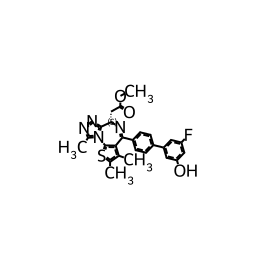 COC(=O)C[C@@H]1N=C(c2ccc(-c3cc(O)cc(F)c3)cc2)c2c(sc(C)c2C)-n2c(C)nnc21